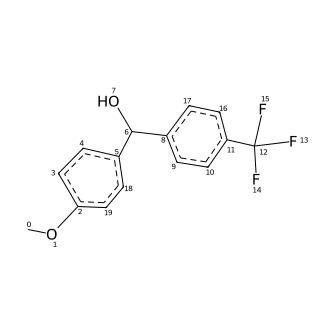 COc1ccc(C(O)c2ccc(C(F)(F)F)cc2)cc1